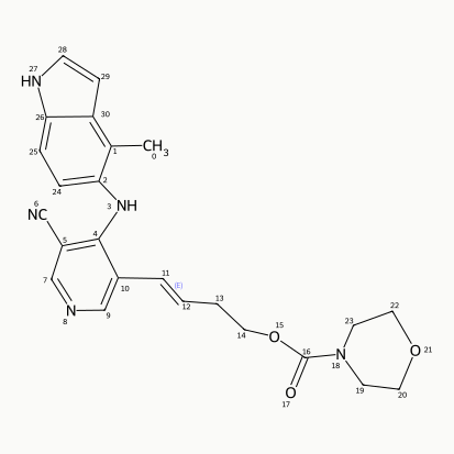 Cc1c(Nc2c(C#N)cncc2/C=C/CCOC(=O)N2CCOCC2)ccc2[nH]ccc12